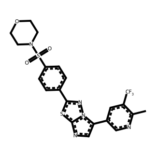 Cc1ncc(-c2cnc3sc(-c4ccc(S(=O)(=O)N5CCOCC5)cc4)nn23)cc1C(F)(F)F